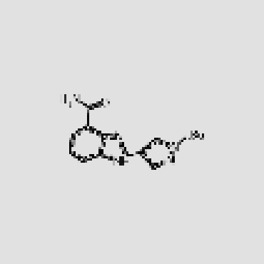 CC(C)(C)n1cc(-c2nc3c(C(N)=O)cccc3[nH]2)cn1